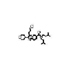 CC(C)CCN(CCC(C)C)C(=O)c1ccc2nc(C3CCOCC3)c(CCCCl)n2c1